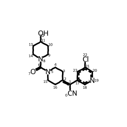 N#CC(=C1CCN(C(=O)N2CCC(O)CC2)CC1)c1cncc(Cl)c1